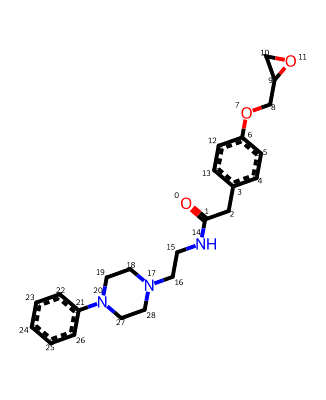 O=C(Cc1ccc(OCC2CO2)cc1)NCCN1CCN(c2ccccc2)CC1